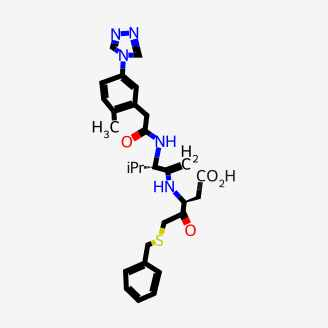 C=C(N[C@@H](CC(=O)O)C(=O)CSCc1ccccc1)[C@@H](NC(=O)Cc1cc(-n2cnnc2)ccc1C)C(C)C